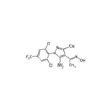 C/C(=N\O)c1c(C#N)nn(-c2c(Cl)cc(C(F)(F)F)cc2Cl)c1N